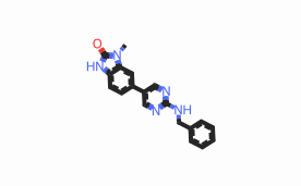 Cn1c(=O)[nH]c2ccc(-c3cnc(NCc4ccccc4)nc3)cc21